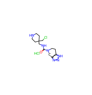 Cl.O=C(NCC1(CCl)CCNCC1)N1CCc2[nH]nnc2C1